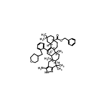 CC1(C)CC[C@]2(C(=O)OCc3ccccc3)CC[C@]3(C)C(=C(c4ccccc4CN4CCOCC4)CC4[C@@]5(C)Cc6c(n[nH]c6N)C(C)(C)[C@@H]5CC[C@]43C)[C@@H]2C1